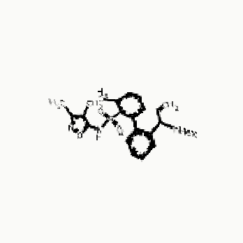 C=CC(CCCCCC)c1ccccc1-c1cccc(C)c1S(=O)(=O)Nc1onc(C)c1C